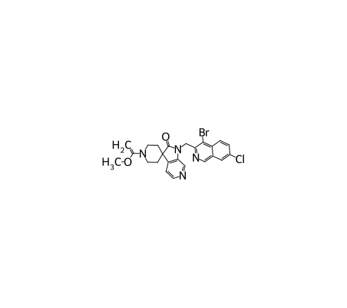 C=C(OC)N1CCC2(CC1)C(=O)N(Cc1ncc3cc(Cl)ccc3c1Br)c1cnccc12